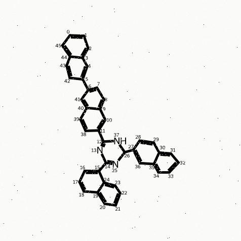 c1ccc2cc(-c3ccc4cc(C5=NC(c6cccc7ccccc67)=NC(c6ccc7ccccc7c6)N5)ccc4c3)ccc2c1